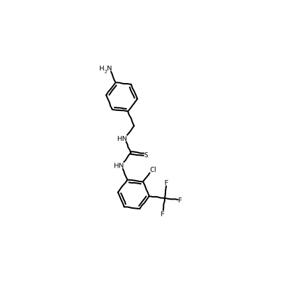 Nc1ccc(CNC(=S)Nc2cccc(C(F)(F)F)c2Cl)cc1